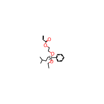 C=CC(=O)OCCO[Si](CCC(C)C)(OCC)c1ccccc1